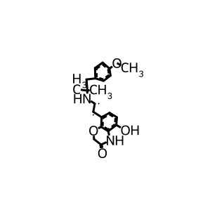 COc1ccc(CC(C)(C)N[CH][CH]c2ccc(O)c3c2OCC(=O)N3)cc1